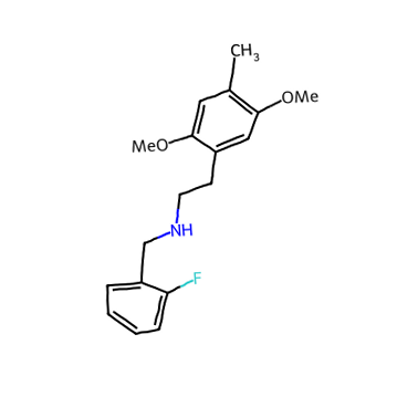 COc1cc(CCNCc2ccccc2F)c(OC)cc1C